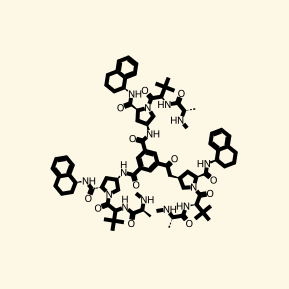 CN[C@@H](C)C(=O)NC(C(=O)N1C[C@@H](NC(=O)c2cc(C(=O)C[C@H]3C[C@@H](C(=O)N[C@@H]4CCCc5ccccc54)N(C(=O)[C@@H](NC(=O)[C@H](C)NC)C(C)(C)C)C3)cc(C(=O)N[C@H]3C[C@@H](C(=O)N[C@@H]4CCCc5ccccc54)N(C(=O)[C@@H](NC(=O)[C@H](C)NC)C(C)(C)C)C3)c2)C[C@H]1C(=O)N[C@@H]1CCCc2ccccc21)C(C)(C)C